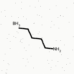 B.CCCCCN